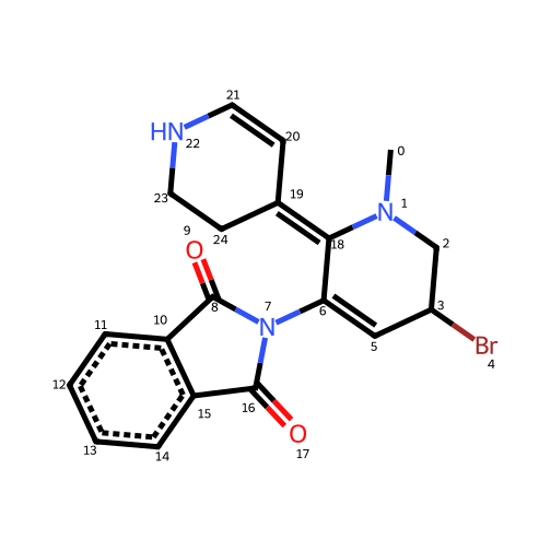 CN1CC(Br)C=C(N2C(=O)c3ccccc3C2=O)C1=C1C=CNCC1